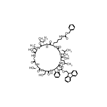 CCC(C)[C@@H]1NC(=O)[C@@H](CCCCNC(=O)OCc2ccccc2)NC(=O)[C@H](CC(C)C)NC(=O)[C@H]([C@H](O)C(C)C)NC(=O)[C@@H](NC(=O)OCC2c3ccccc3-c3ccccc32)[C@@H](c2ccccc2)NC(=O)C(CO)NC(=O)[C@H](CO)NC(=O)CNC(=O)[C@H]([C@H](C)O)NC1=O